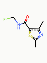 Cc1nc(C)c(C(=O)NCF)s1